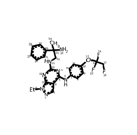 CCn1ncc2c(Nc3ccc(OC(F)(F)CF)cc3)nc(NCC(C)(N)c3ccccc3)nc21